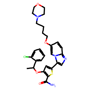 CC(Oc1cc(-c2cnc3ccc(OCCCCN4CCOCC4)cn23)sc1C(N)=O)c1ccccc1Cl